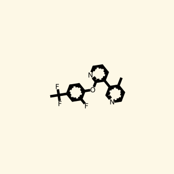 Cc1ccncc1-c1cccnc1Oc1ccc(C(C)(F)F)cc1F